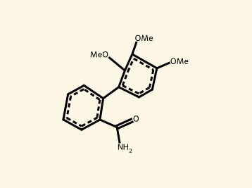 COc1ccc(-c2ccccc2C(N)=O)c(OC)c1OC